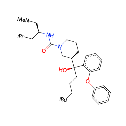 CCC(C)CCC[C@@](O)(c1ccccc1Oc1ccccc1)[C@@H]1CCCN(C(=O)N[C@H](CNC)CC(C)C)C1